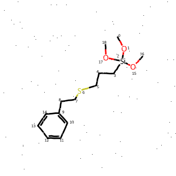 CO[Si](CCCSCCc1ccccc1)(OC)OC